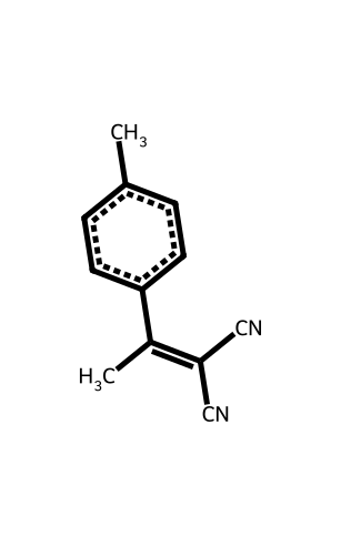 CC(=C(C#N)C#N)c1ccc(C)cc1